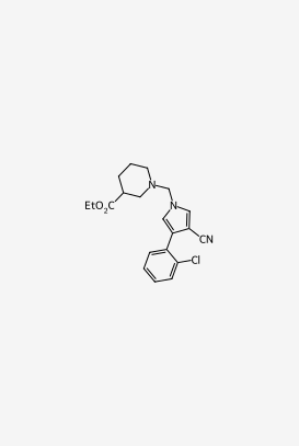 CCOC(=O)C1CCCN(Cn2cc(C#N)c(-c3ccccc3Cl)c2)C1